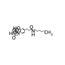 CCCCCCNC(=O)CCc1ccc(N2CC(=O)NS2(=O)=O)c(O)c1